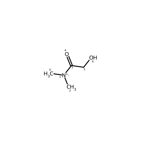 C[N+](C)C(=O)CO